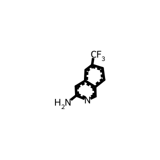 Nc1cc2cc(C(F)(F)F)ccc2cn1